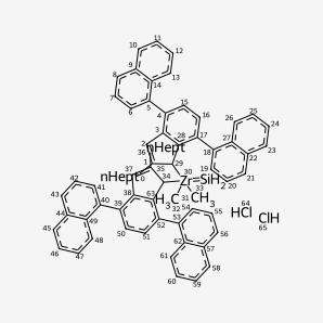 CCCCCCCC1=Cc2c(-c3cccc4ccccc34)ccc(-c3cccc4ccccc34)c2[CH]1[Zr]([CH3])([CH3])(=[SiH2])[CH]1C(CCCCCCC)=Cc2c(-c3cccc4ccccc34)ccc(-c3cccc4ccccc34)c21.Cl.Cl